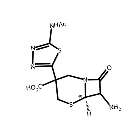 CC(=O)Nc1nnc(C2(C(=O)O)CS[C@@H]3C(N)C(=O)N3C2)s1